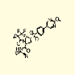 COc1ncc(-c2ccc(S(=O)(=O)[C@@H]3C[C@@H](C(=O)NC4(C#N)CC4)N(C(=O)C4(C(F)(F)F)CC4)C3)cc2)cn1